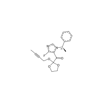 CC#CCOC1(C(=O)c2c(F)ncn2[C@H](C)c2ccccc2)OCCO1